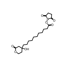 O=C1CC(O)(CCCCCCCCCCC(=O)ON2C(=O)CCC2=O)CCO1